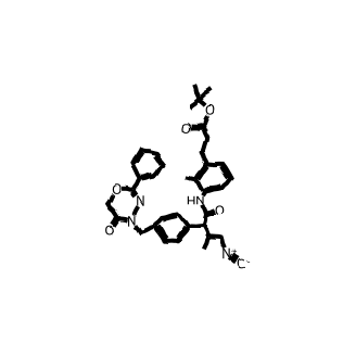 [C-]#[N+]CC(C)C(C(=O)Nc1cccc(CCC(=O)OC(C)(C)C)c1C)c1ccc(CN2N=C(c3ccccc3)OCC2=O)cc1